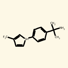 [CH2]C(C)(N)c1ccc([SH]2C=CC(C(F)(F)F)=C2)cc1